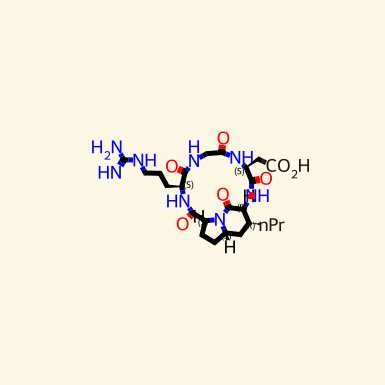 CCC[C@@H]1C[C@@H]2CC[C@H]3C(=O)N[C@@H](CCCNC(=N)N)C(=O)NCC(=O)N[C@@H](CC(=O)O)C(=O)N[C@H]1C(=O)N23